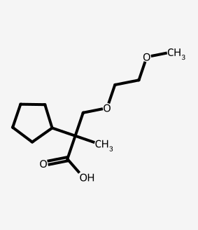 COCCOCC(C)(C(=O)O)C1CCCC1